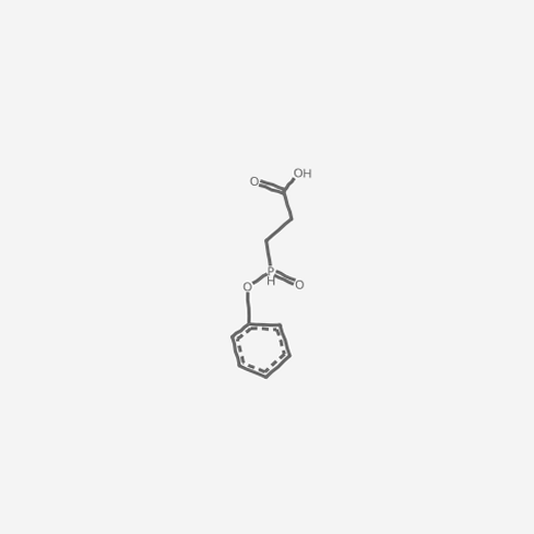 O=C(O)CC[PH](=O)Oc1ccccc1